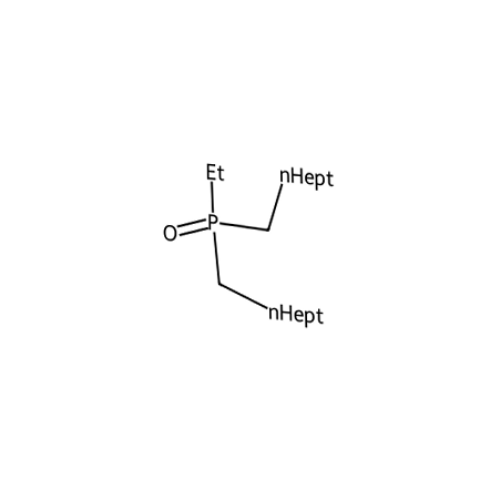 CCCCCCCCP(=O)(CC)CCCCCCCC